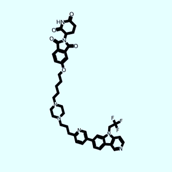 O=C1CCC(N2C(=O)c3ccc(OCCCCCN4CCN(CCCc5ccc(-c6ccc7c8cnccc8n(CC(F)(F)F)c7c6)cn5)CC4)cc3C2=O)C(=O)N1